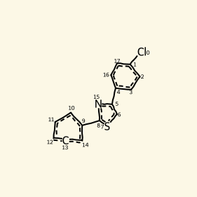 Clc1ccc(-c2csc(-c3ccccc3)n2)cc1